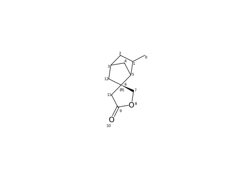 CC1CC2CC1[C@@]1(COC(=O)C1)C2